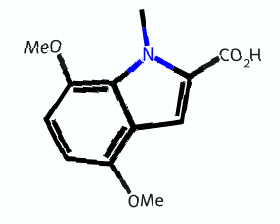 COc1ccc(OC)c2c1cc(C(=O)O)n2C